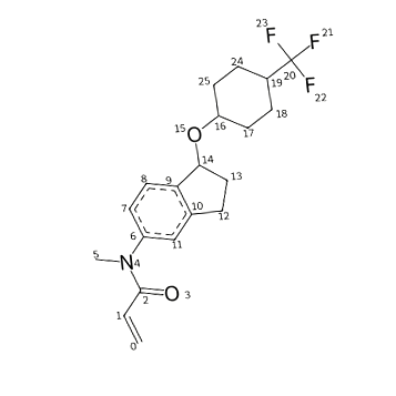 C=CC(=O)N(C)c1ccc2c(c1)CCC2OC1CCC(C(F)(F)F)CC1